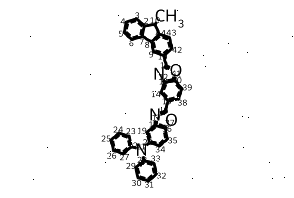 CC1c2ccccc2-c2cc(-c3nc4cc(-c5nc6cc(N(c7ccccc7)c7ccccc7)ccc6o5)ccc4o3)ccc21